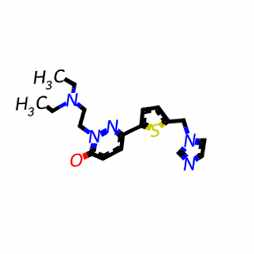 CCN(CC)CCn1nc(-c2ccc(Cn3ccnc3)s2)ccc1=O